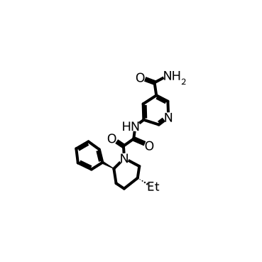 CC[C@@H]1CC[C@@H](c2ccccc2)N(C(=O)C(=O)Nc2cncc(C(N)=O)c2)C1